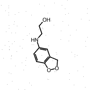 OCCNc1ccc2c(c1)COO2